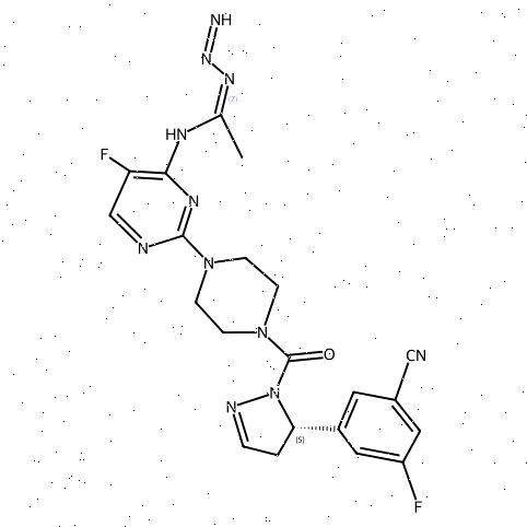 C/C(=N/N=N)Nc1nc(N2CCN(C(=O)N3N=CC[C@H]3c3cc(F)cc(C#N)c3)CC2)ncc1F